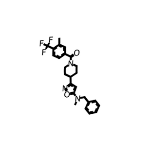 Cc1cc(C(=O)N2CCC(c3cc(N(C)Cc4ccccc4)on3)CC2)ccc1C(F)(F)F